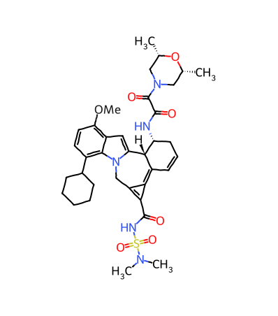 COc1ccc(C2CCCCC2)c2c1cc1n2CC2=C(C(=O)NS(=O)(=O)N(C)C)C2=C2C=CC[C@@H](NC(=O)C(=O)N3C[C@@H](C)O[C@@H](C)C3)[C@H]21